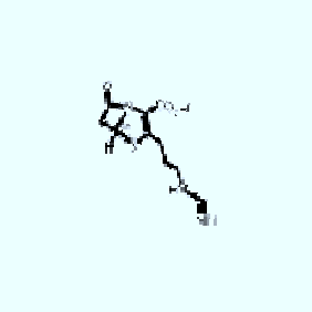 N=CNCCCC1=C(C(=O)O)N2C(=O)C[C@H]2S1